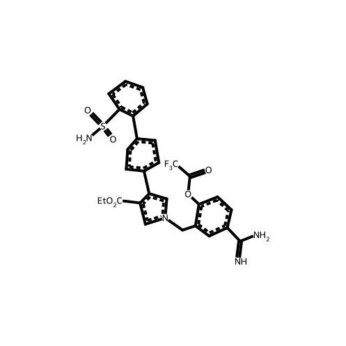 CCOC(=O)c1cn(Cc2cc(C(=N)N)ccc2OC(=O)C(F)(F)F)cc1-c1ccc(-c2ccccc2S(N)(=O)=O)cc1